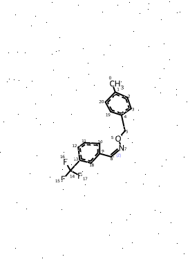 Cc1ccc(CO/N=[C]\c2cccc(C(F)(F)F)c2)cc1